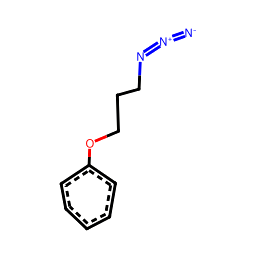 [N-]=[N+]=NCCCOc1ccccc1